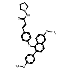 COc1ccc(-c2ccc3cc(OC)ccc3c2Oc2ccc(C=CC(=O)NN3CCCC3)cc2)cc1